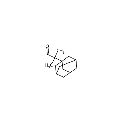 CC(C)(C=O)C12CC3CC(CC(C3)C1)C2